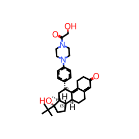 CC(C)(C)[C@]1(O)CC[C@H]2[C@@H]3CCC4=CC(=O)CCC4=C3[C@@H](c3ccc(N4CCN(C(=O)CO)CC4)cc3)C[C@@]21C